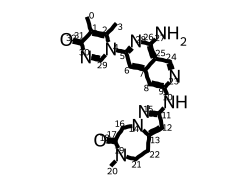 Cc1c(C)n(-c2cc3cc(Nc4cc5n(n4)CC(=O)N(C)CC5)ncc3c(N)n2)cnc1=O